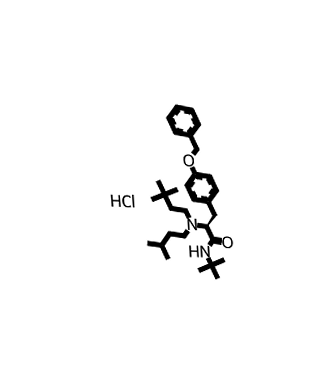 CC(C)CCN(CCC(C)(C)C)[C@@H](Cc1ccc(OCc2ccccc2)cc1)C(=O)NC(C)(C)C.Cl